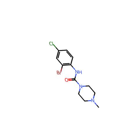 CN1CCN(C(=O)Nc2ccc(Cl)cc2Br)CC1